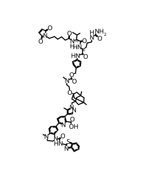 Cc1c(-c2ccc(-c3ccc4c(c3)N(C(=O)Nc3nc5ccccc5s3)CCN4C)nc2C(=O)O)cnn1CC12CC3(C)CC(C)(C1)CC(OCCN(C)C(=O)OCc1ccc(NC(=O)[C@H](CCCNC(N)=O)NC(=O)[C@@H](NC(=O)CCCCCN4C(=O)C=CC4=O)C(C)C)cc1)(C3)C2